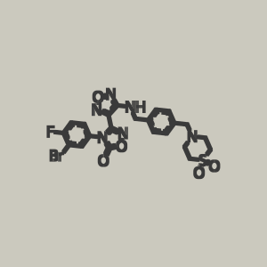 O=c1onc(-c2nonc2NCc2ccc(CN3CCS(=O)(=O)CC3)cc2)n1-c1ccc(F)c(Br)c1